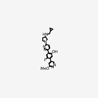 COc1cc(-c2cc(O)c(-c3ccc(N4CC[C@H](NCC5CC5)C4)nn3)cc2F)cnn1